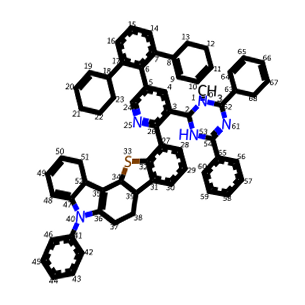 CN1C(c2cc(-c3c(C4=CC=CCC4)cccc3C3C=CCCC3)cnc2-c2cccc3c2SC2C4=C(CCC32)N(c2ccccc2)C2=CC=CCC24)NC(c2ccccc2)=NC1C1C=CC=CC1